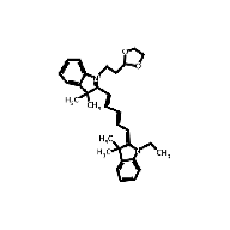 CCN1/C(=C/C=C/C=C/C2=[N+](CCC3OCCO3)c3ccccc3C2(C)C)C(C)(C)c2ccccc21